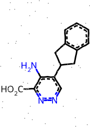 Nc1c(C2Cc3ccccc3C2)cnnc1C(=O)O